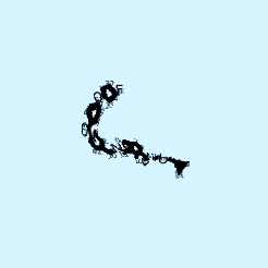 C=c1ccc(C(=O)NCCOCC2CC2)c(C)/c1=C/NCC1CCN(C(=O)c2ccc(Oc3ccc(F)cc3)cc2)CC1